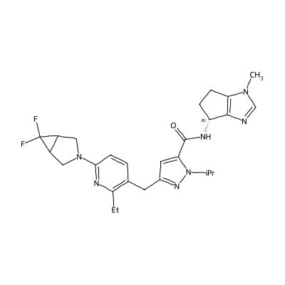 CCc1nc(N2CC3C(C2)C3(F)F)ccc1Cc1cc(C(=O)N[C@@H]2CCc3c2ncn3C)n(C(C)C)n1